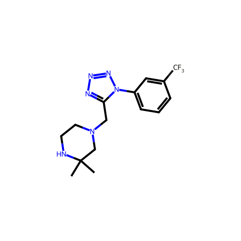 CC1(C)CN(Cc2nnnn2-c2cccc(C(F)(F)F)c2)CCN1